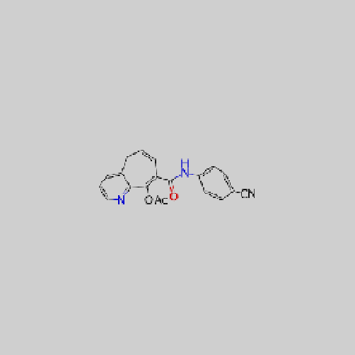 CC(=O)OC1=C(C(=O)Nc2ccc(C#N)cc2)C=CCc2cccnc21